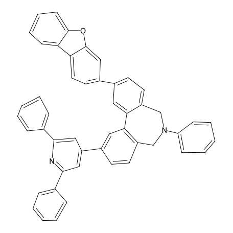 c1ccc(-c2cc(-c3ccc4c(c3)-c3cc(-c5ccc6c(c5)oc5ccccc56)ccc3CN(c3ccccc3)C4)cc(-c3ccccc3)n2)cc1